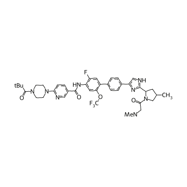 CNCC(=O)N1CC(C)CC1c1nc(-c2ccc(-c3cc(F)c(NC(=O)c4ccc(N5CCN(C(=O)C(C)(C)C)CC5)nc4)cc3OC(F)(F)F)cc2)c[nH]1